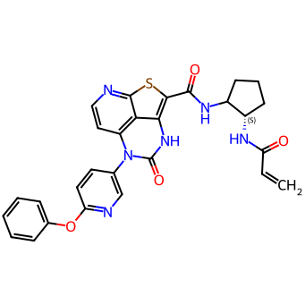 C=CC(=O)N[C@H]1CCCC1NC(=O)c1sc2nccc3c2c1NC(=O)N3c1ccc(Oc2ccccc2)nc1